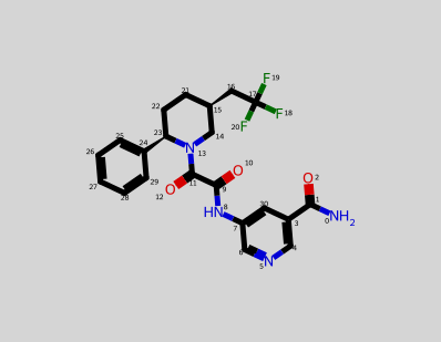 NC(=O)c1cncc(NC(=O)C(=O)N2C[C@H](CC(F)(F)F)CC[C@@H]2c2ccccc2)c1